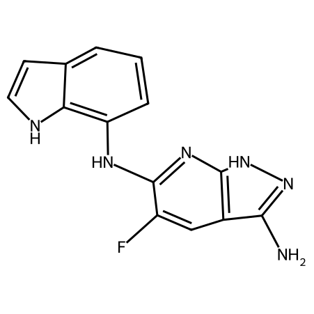 Nc1n[nH]c2nc(Nc3cccc4cc[nH]c34)c(F)cc12